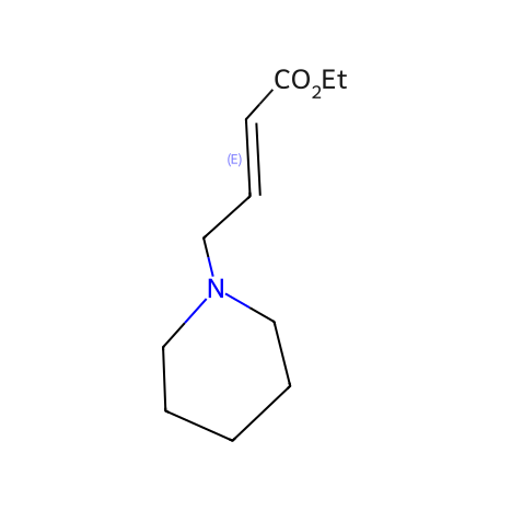 CCOC(=O)/C=C/CN1CCCCC1